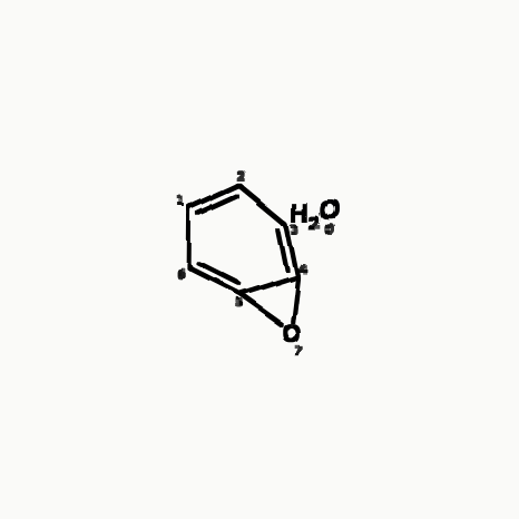 O.c1ccc2c(c1)O2